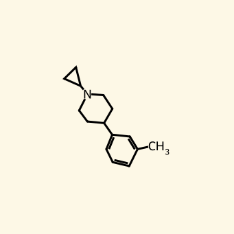 Cc1cccc(C2CCN(C3CC3)CC2)c1